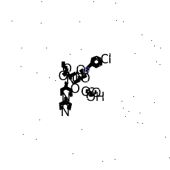 CCOC(=O)C1CN(S(=O)(=O)/C=C/c2ccc(Cl)cc2)CC(=O)N1CC1CCN(c2ccncc2)CC1.CS(=O)(=O)O